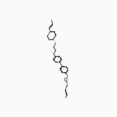 CC=CCOCc1ccc(-c2ccc(CCCC[C@H]3CC[C@H](C=CC)CC3)cc2)cc1